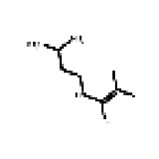 CC(=O)C(NCCC(N)C(=O)O)=C(C)C